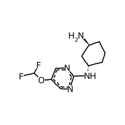 N[C@H]1CCC[C@H](Nc2ncc(OC(F)F)cn2)C1